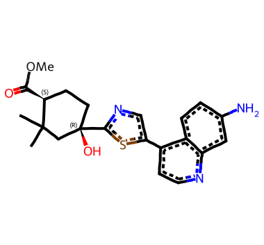 COC(=O)[C@H]1CC[C@](O)(c2ncc(-c3ccnc4cc(N)ccc34)s2)CC1(C)C